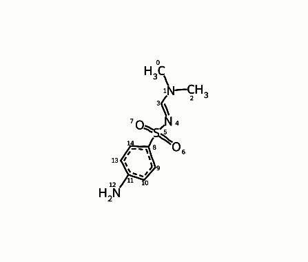 CN(C)C=NS(=O)(=O)c1ccc(N)cc1